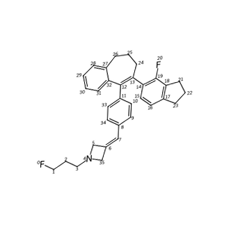 FCCCN1CC(=Cc2ccc(C3=C(c4ccc5c(c4F)CCC5)CCCc4ccccc43)cc2)C1